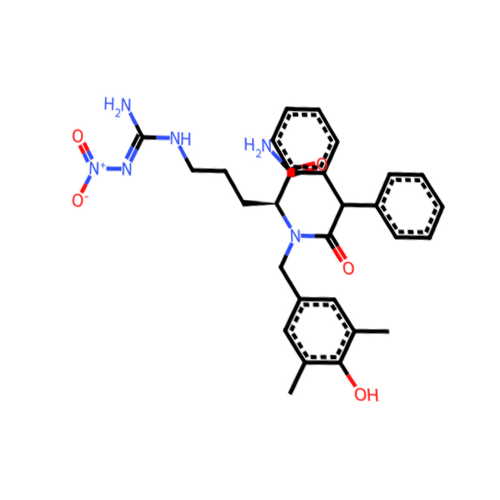 Cc1cc(CN(C(=O)C(c2ccccc2)c2ccccc2)[C@@H](CCCNC(N)=N[N+](=O)[O-])C(N)=O)cc(C)c1O